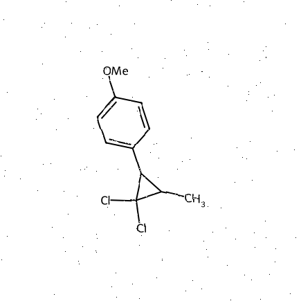 COc1ccc(C2C(C)C2(Cl)Cl)cc1